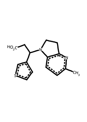 Cc1ccc2c(n1)CCN2C(CC(=O)O)c1ccsc1